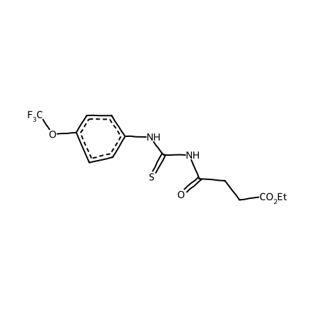 CCOC(=O)CCC(=O)NC(=S)Nc1ccc(OC(F)(F)F)cc1